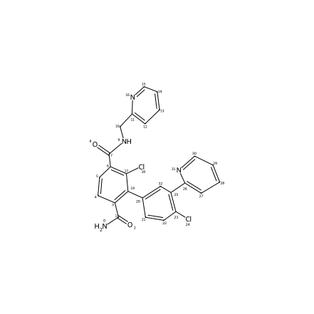 NC(=O)c1ccc(C(=O)NCc2ccccn2)c(Cl)c1-c1ccc(Cl)c(-c2ccccn2)c1